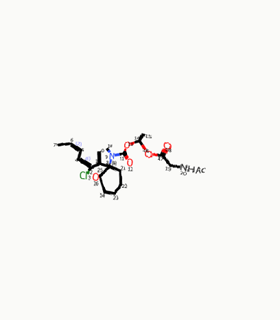 C=C(/C(Cl)=C\C=C/C)[C@]1(N(C)C(=O)OC(C)OC(=O)CNC(C)=O)CCCCC1=O